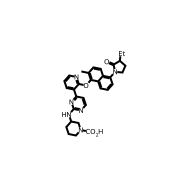 CCC1CCN(c2cccc3c(Oc4ncccc4-c4ccnc(NC5CCCN(C(=O)O)C5)n4)c(C)ccc23)C1=O